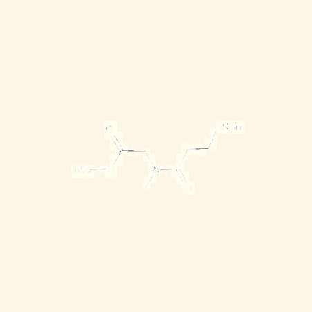 CCCCCCCCCCCC(=O)N(C)CC(=O)OCCCC